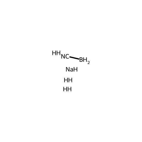 BC#N.[HH].[HH].[HH].[NaH]